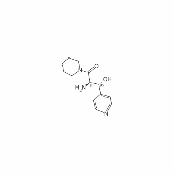 N[C@@H](C(=O)N1CCCCC1)[C@H](O)c1ccncc1